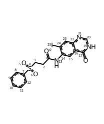 O=C(CCS(=O)(=O)c1ccccc1)Nc1cc2c(=O)[nH]cnc2cc1I